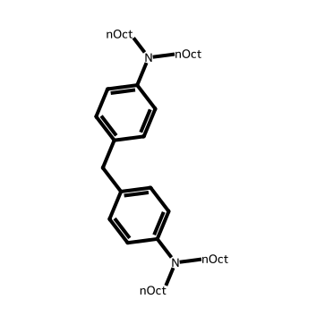 CCCCCCCCN(CCCCCCCC)c1ccc(Cc2ccc(N(CCCCCCCC)CCCCCCCC)cc2)cc1